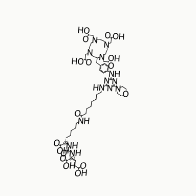 O=C(O)CC[C@H](NC(=O)N[C@@H](CCCCCNC(=O)CCCCCCCNc1nc(Nc2ccc(CC3CN(CC(=O)O)CCN(CC(=O)O)CCN(CC(=O)O)CCN3CC(=O)O)cc2)nc(N2CCOCC2)n1)C(=O)O)C(=O)O